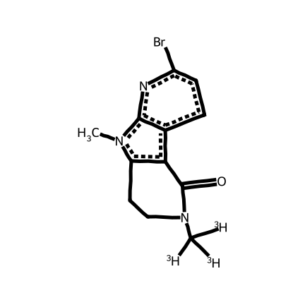 [3H]C([3H])([3H])N1CCc2c(c3ccc(Br)nc3n2C)C1=O